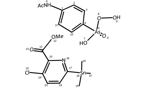 CC(=O)Nc1ccc([As](=O)(O)OO)cc1.COC(=O)c1n[c]([Sn]([CH3])([CH3])[CH3])ccc1Cl